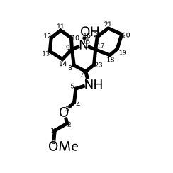 COCCOCCNC1CC2(CCCCC2)N(O)C2(CCCCC2)C1